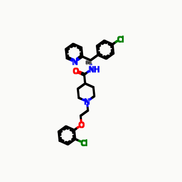 O=C(N[C@@H](c1ccc(Cl)cc1)c1ccccn1)C1CCN(CCOc2ccccc2Cl)CC1